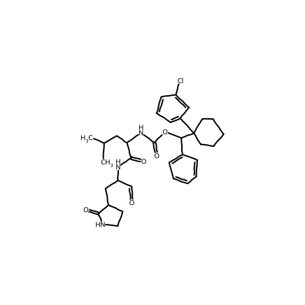 CC(C)CC(NC(=O)OC(c1ccccc1)C1(c2cccc(Cl)c2)CCCCC1)C(=O)NC(C=O)CC1CCNC1=O